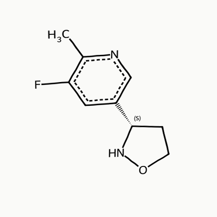 Cc1ncc([C@@H]2CCON2)cc1F